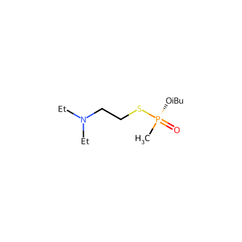 CCN(CC)CCS[P@](C)(=O)OCC(C)C